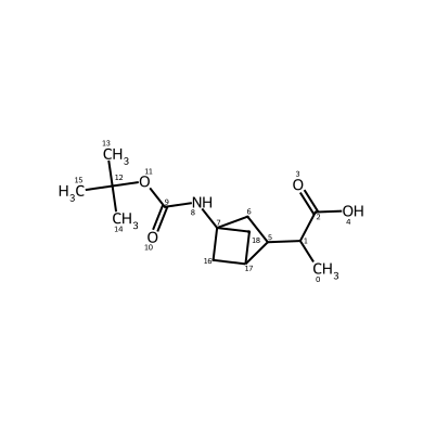 CC(C(=O)O)C1CC2(NC(=O)OC(C)(C)C)CC1C2